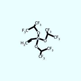 C=C[Si](OC(C(F)(F)F)C(F)(F)F)(OC(C(F)(F)F)C(F)(F)F)OC(C(F)(F)F)C(F)(F)F